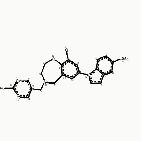 COc1ccc2c(ccn2-c2cc(Cl)c3c(c2)CN(Cc2cnc(OC)nc2)CCO3)c1